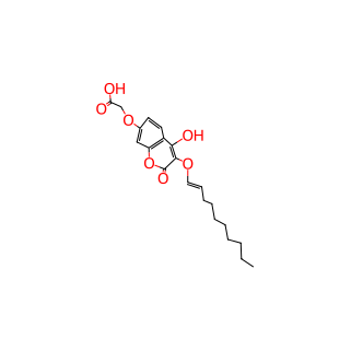 CCCCCCCCC=COc1c(O)c2ccc(OCC(=O)O)cc2oc1=O